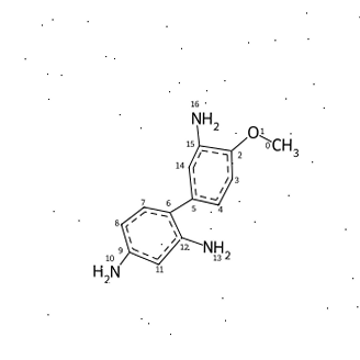 COc1ccc(-c2ccc(N)cc2N)cc1N